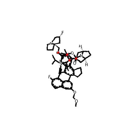 COCOc1cc(-c2c3c(c4c(N5C[C@H]6CC[C@@H](C5)N6C(=O)OC(C)(C)C)nc(OC[C@@]56CCCN5C[C@H](F)C6)nc4c2F)CCC3)c2c(C#C[Si](C(C)C)(C(C)C)C(C)C)c(F)ccc2c1